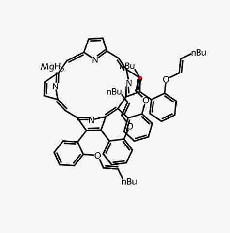 CCCCC=COc1ccccc1C1=CC2=CC3=NC(=CC4=NC(=CC5=NC(=C(c6ccccc6OC=CCCCC)C1=N2)C(c1ccccc1OC=CCCCC)=C5c1ccccc1OC=CCCCC)C=C4)C=C3.[MgH2]